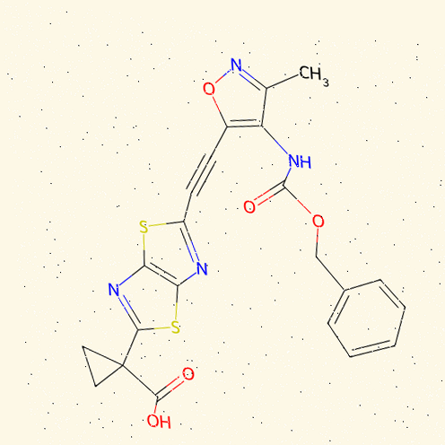 Cc1noc(C#Cc2nc3sc(C4(C(=O)O)CC4)nc3s2)c1NC(=O)OCc1ccccc1